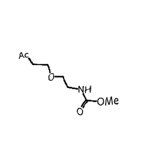 COC(=O)NCCOCCC(C)=O